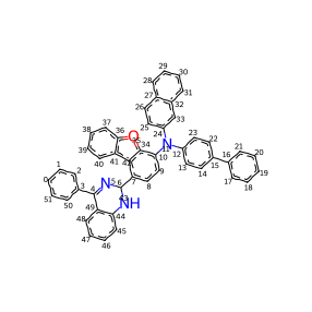 c1ccc(C2=NC(c3ccc(N(c4ccc(-c5ccccc5)cc4)c4ccc5ccccc5c4)c4oc5ccccc5c34)Nc3ccccc32)cc1